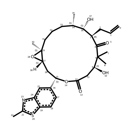 C=CC[C@H]1C(=O)C(C)(C)[C@@H](O)CC(=O)O[C@H](c2ccc3sc(C)nc3c2)C[C@@H]2O[C@@]2(C)CCC[C@H](C)[C@@H]1O